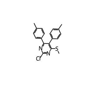 CSc1nc(Cl)nc(-c2ccc(C)cc2)c1-c1ccc(C)cc1